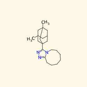 CC12CC3CC(C)(C1)CC(c1nnc4n1CCCCCCC4)(C3)C2